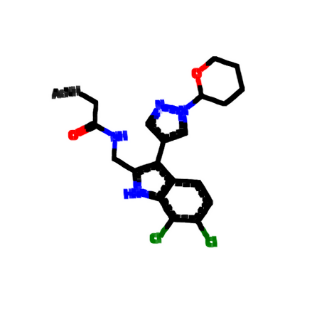 CC(=O)NCC(=O)NCc1[nH]c2c(Cl)c(Cl)ccc2c1-c1cnn(C2CCCCO2)c1